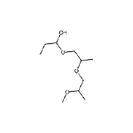 CCC(O)OCC(C)OCC(C)OC